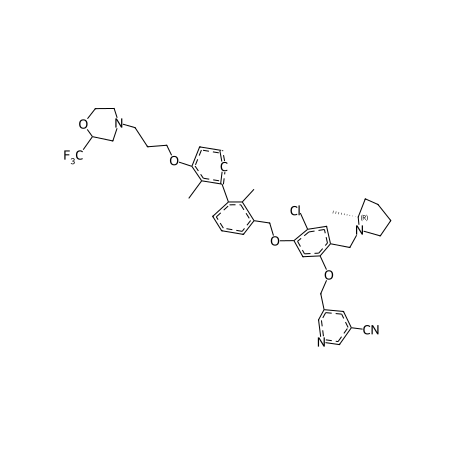 Cc1c(COc2cc(OCc3cncc(C#N)c3)c(CN3CCCC[C@H]3C)cc2Cl)cccc1-c1cccc(OCCCN2CCOC(C(F)(F)F)C2)c1C